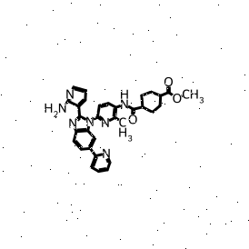 COC(=O)C1CCC(C(=O)Nc2ccc(-n3c(-c4cccnc4N)nc4ccc(-c5ccccn5)cc43)nc2C)CC1